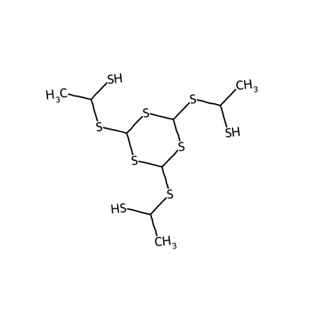 CC(S)SC1SC(SC(C)S)SC(SC(C)S)S1